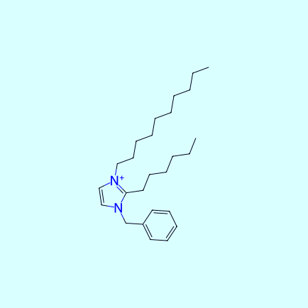 CCCCCCCCCC[n+]1ccn(Cc2ccccc2)c1CCCCCC